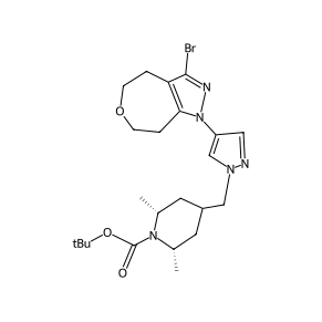 C[C@@H]1CC(Cn2cc(-n3nc(Br)c4c3CCOCC4)cn2)C[C@H](C)N1C(=O)OC(C)(C)C